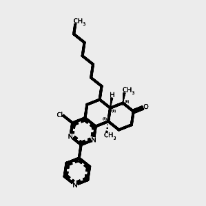 CCCCCCCC1Cc2c(Cl)nc(-c3ccncc3)nc2[C@]2(C)CCC(=O)[C@H](C)[C@@H]12